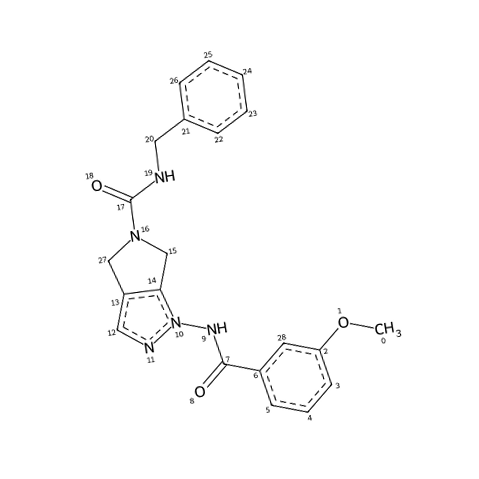 COc1cccc(C(=O)Nn2ncc3c2CN(C(=O)NCc2ccccc2)C3)c1